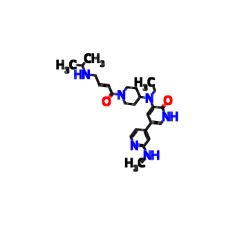 CCN(c1cc(-c2ccnc(NC)c2)c[nH]c1=O)C1CCN(C(=O)C=CCNC(C)C)CC1